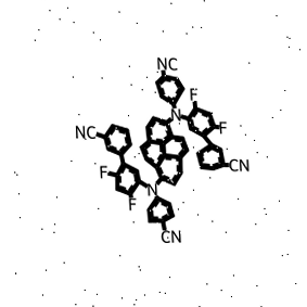 [C-]#[N+]c1ccc(N(c2cc(-c3cccc(C#N)c3)c(F)cc2F)c2ccc3ccc4c(N(c5ccc(C#N)cc5)c5cc(-c6cccc(C#N)c6)c(F)cc5F)ccc5ccc2c3c54)cc1